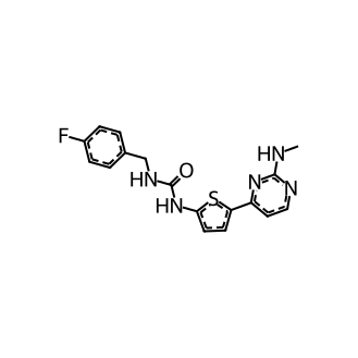 CNc1nccc(-c2ccc(NC(=O)NCc3ccc(F)cc3)s2)n1